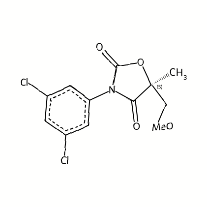 COC[C@]1(C)OC(=O)N(c2cc(Cl)cc(Cl)c2)C1=O